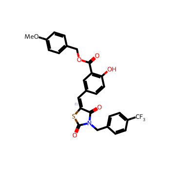 COc1ccc(COC(=O)c2cc(/C=C3/SC(=O)N(Cc4ccc(C(F)(F)F)cc4)C3=O)ccc2O)cc1